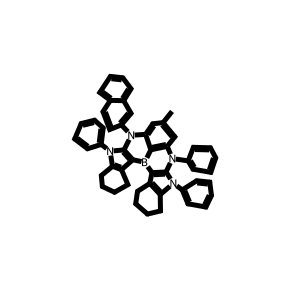 Cc1cc2c3c(c1)N(c1ccc4ccccc4c1)c1c(c4c(n1-c1ccccc1)CCCC4)B3c1c3c(n(-c4ccccc4)c1N2c1ccccc1)CCCC3